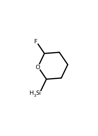 FC1CCCC([SiH3])O1